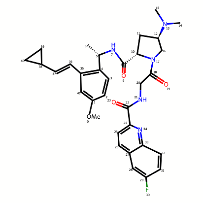 COc1ccc([C@H](C)NC(=O)[C@@H]2C[C@@H](N(C)C)CN2C(=O)CNC(=O)c2ccc3cc(F)ccc3n2)c(/C=C/C2CC2)c1